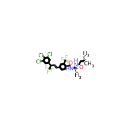 CC(C)=CC(=O)N[C@@H](C)NC(=O)c1ccc(/C=C/C(c2cc(Cl)c(Cl)c(Cl)c2)C(F)(F)F)cc1C(F)(F)F